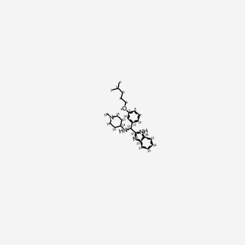 CC(C)CCCOc1cccc(C(NC2CCN(C)CC2)c2nc3ccccc3[nH]2)c1